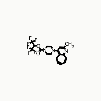 Cc1cc(N2CCN(C(=O)OC(C(F)(F)F)C(F)(F)F)CC2)c2c(n1)C=CC#CC2